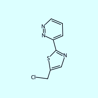 ClCc1cnc(-c2cccnn2)s1